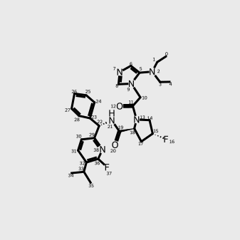 CCN(CC)c1cncn1CC(=O)N1C[C@H](F)C[C@H]1C(=O)N[C@@H](c1ccccc1)c1ccc(C(C)C)c(F)n1